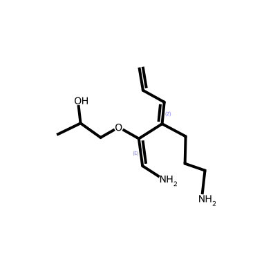 C=C/C=C(CCCN)\C(=C/N)OCC(C)O